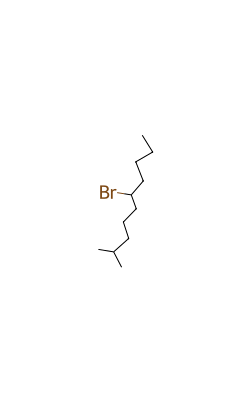 CCCCC(Br)CCCC(C)C